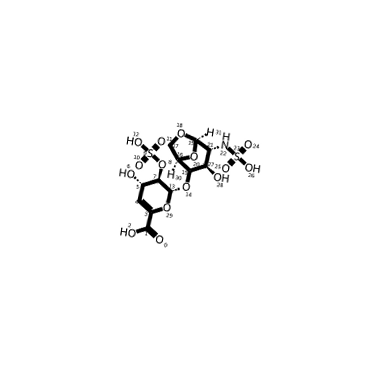 O=C(O)C1=C[C@H](O)[C@@H](OS(=O)(=O)O)[C@H](OC2[C@H]3CO[C@H](O3)[C@H](NS(=O)(=O)O)[C@H]2O)O1